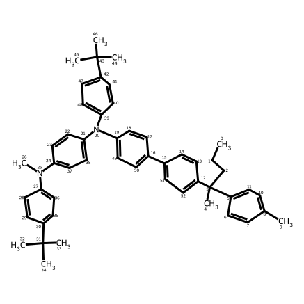 CCCC(C)(c1ccc(C)cc1)c1ccc(-c2ccc(N(c3ccc(N(C)c4ccc(C(C)(C)C)cc4)cc3)c3ccc(C(C)(C)C)cc3)cc2)cc1